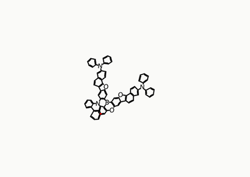 c1ccc(-c2ccccc2N2c3cc4c(cc3B3c5cc6oc7c8ccc(N(c9ccccc9)c9ccccc9)cc8ccc7c6cc5Oc5cccc2c53)oc2c3ccc(N(c5ccccc5)c5ccccc5)cc3ccc42)cc1